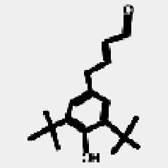 CC(C)(C)c1cc(CC=CC=O)cc(C(C)(C)C)c1O